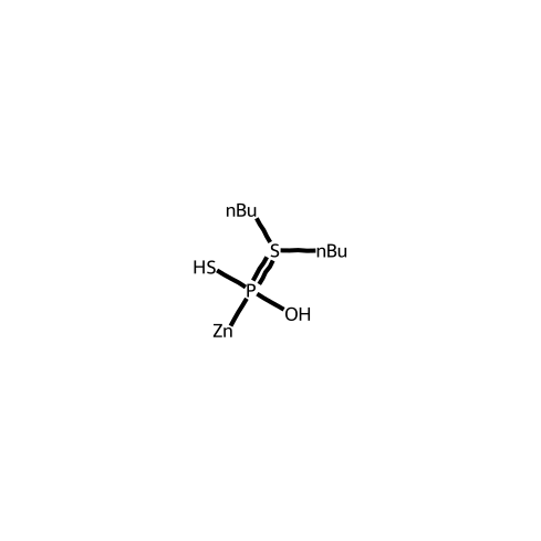 CCCCS(CCCC)=[P](O)(S)[Zn]